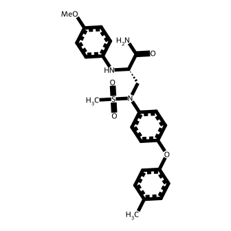 COc1ccc(N[C@@H](CN(c2ccc(Oc3ccc(C)cc3)cc2)S(C)(=O)=O)C(N)=O)cc1